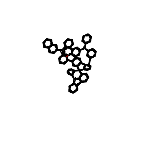 c1ccc(N(c2cccc(-c3ccc4c(c3)C3(c5ccccc5-n5c6ccccc6c6cccc3c65)c3cccc(-c5cccc(N(c6ccccc6)c6ccc7ccccc7c6)c5)c3-4)c2)c2ccc3ccccc3c2)cc1